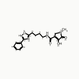 CN1CC(C(=O)NCCCCc2nc(-c3ccccc3)no2)=C(O)C1=O